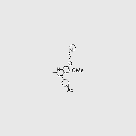 COc1cc2c(C3CCN(C(C)=O)CC3)cc(C)nc2cc1OCCCN1CCCC1